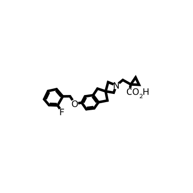 O=C(O)C1(CN2CC3(Cc4ccc(OCc5ccccc5F)cc4C3)C2)CC1